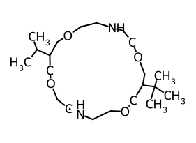 CC(C)C1COCCNCCOCC(C(C)(C)C)COCCNCCOC1